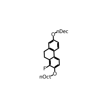 CCCCCCCCCCOc1ccc2c(c1)CCc1c-2ccc(OCCCCCCCC)c1F